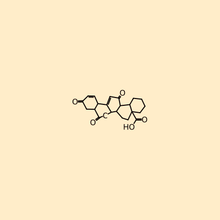 O=C1C=CC2C3=CC(=O)C4C(CCC5(C(=O)O)CCCCC45)C3CC(=O)C2C1